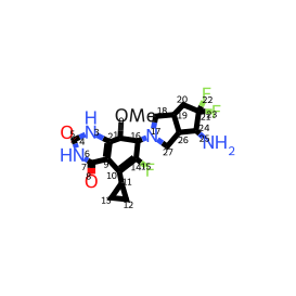 COC1c2[nH]c(=O)[nH]c(=O)c2C(C2CC2)=C(F)C1N1CC2CC(F)(F)C(N)C2C1